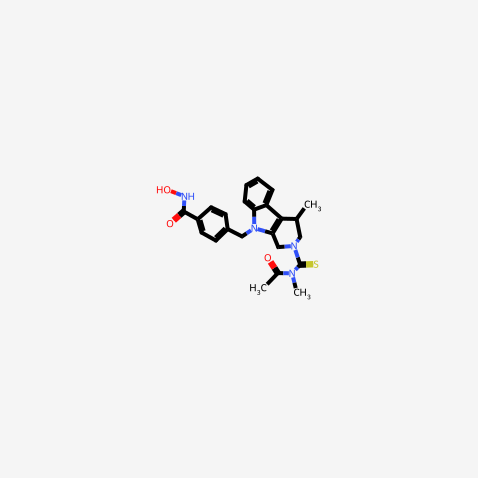 CC(=O)N(C)C(=S)N1Cc2c(c3ccccc3n2Cc2ccc(C(=O)NO)cc2)C(C)C1